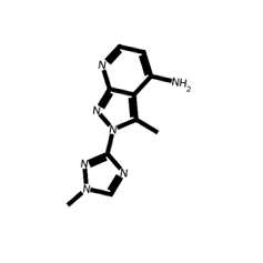 Cc1c2c(N)ccnc2nn1-c1ncn(C)n1